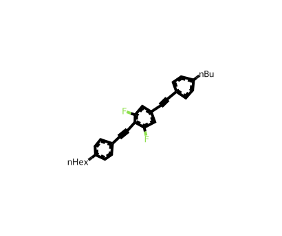 CCCCCCc1ccc(C#Cc2c(F)cc(C#Cc3ccc(CCCC)cc3)cc2F)cc1